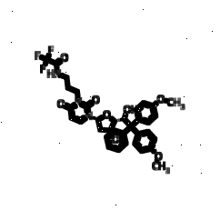 COc1ccc(C(c2ccccc2)(c2ccc(OC)cc2)C(O)[C@H]2O[C@@H](n3ccc(=O)n(CCCNC(=O)C(F)(F)F)c3=O)C[C@@H]2O)cc1